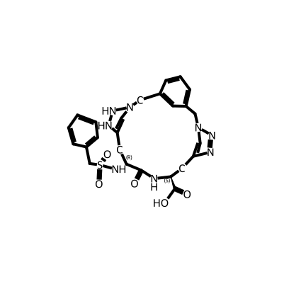 O=C(O)[C@@H]1Cc2cn(nn2)Cc2cccc(c2)CN2C=C(C[C@@H](NS(=O)(=O)Cc3ccccc3)C(=O)N1)NN2